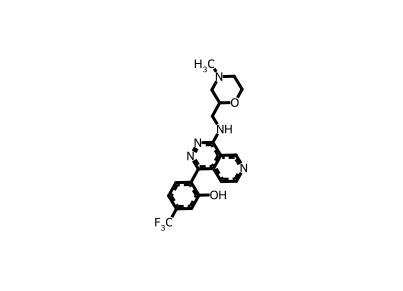 CN1CCOC(CNc2nnc(-c3ccc(C(F)(F)F)cc3O)c3ccncc23)C1